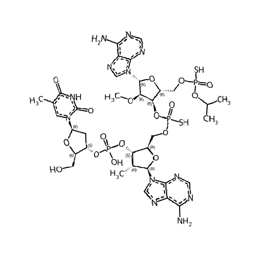 CO[C@@H]1[C@H](OP(=O)(S)OC[C@H]2O[C@@H](n3cnc4c(N)ncnc43)[C@H](C)[C@@H]2OP(=O)(O)O[C@H]2C[C@H](n3cc(C)c(=O)[nH]c3=O)O[C@@H]2CO)[C@@H](COP(=O)(S)OC(C)C)O[C@H]1n1cnc2c(N)ncnc21